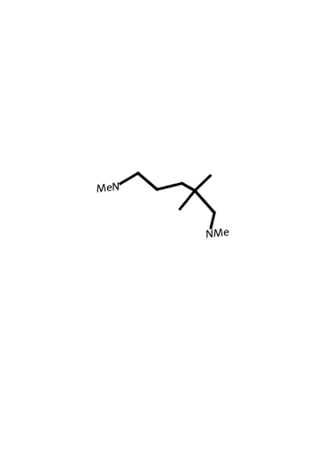 CNCCCC(C)(C)CNC